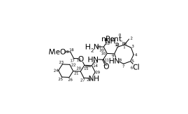 CCCCC[C@]1(C)CCC(Cl)CNC(C(C(=O)NC2=C(OCCOC)C(C3CCCCC3)CNC2)C(N)N)C1